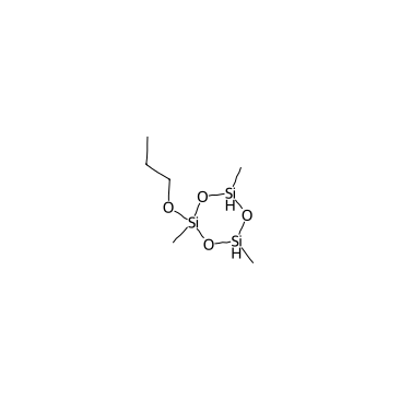 CCCO[Si]1(C)O[SiH](C)O[SiH](C)O1